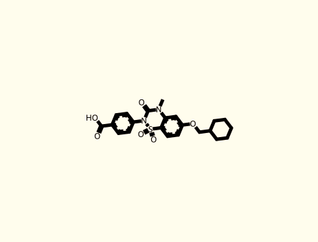 CN1C(=O)N(c2ccc(C(=O)O)cc2)S(=O)(=O)c2ccc(OCC3CCCCC3)cc21